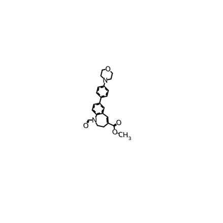 COC(=O)C1=Cc2cc(-c3ccc(N4CCOCC4)cc3)ccc2N(C=O)CC1